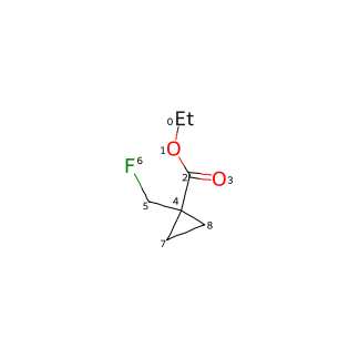 CCOC(=O)C1(CF)CC1